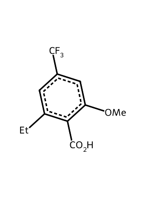 CCc1cc(C(F)(F)F)cc(OC)c1C(=O)O